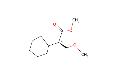 COC[C@H](C(=O)OC)C1CCCCC1